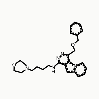 c1ccc(COCc2nnc(NCCCCN3CCOCC3)c3cc4ccccn4c23)cc1